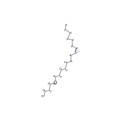 CCCCCC/C=C\CCCCCCCOCCCC